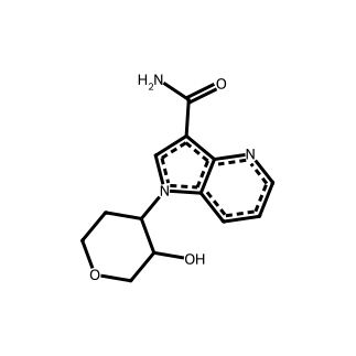 NC(=O)c1cn(C2CCOCC2O)c2cccnc12